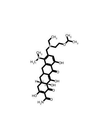 CCN(CCOC(C)C)Cc1cc(O)c2c(c1N(C)C)CC1C[C@H]3CC(O)=C(C(N)=O)C(=O)[C@@]3(O)C(O)=C1C2=O